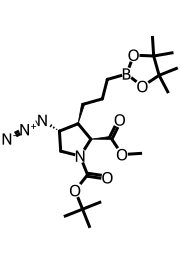 COC(=O)[C@@H]1[C@H](CCCB2OC(C)(C)C(C)(C)O2)[C@@H](N=[N+]=[N-])CN1C(=O)OC(C)(C)C